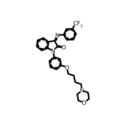 O=C1C(=Nc2cccc(C(F)(F)F)c2)c2ccccc2N1c1cccc(OCCCCN2CCOCC2)c1